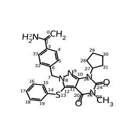 C=C(N)c1ccc(Cn2nc3c(c2Sc2ccccc2)c(=O)n(C)c(=O)n3C2CCCC2)cc1